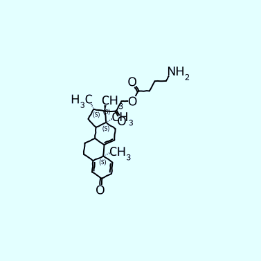 C[C@H]1CC2C3CCC4=CC(=O)C=C[C@]4(C)C3=CC[C@]2(C)[C@@]1(C)C(=O)COC(=O)CCCN